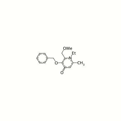 CCn1c(C)cc(=O)c(OCc2ccccc2)c1COC